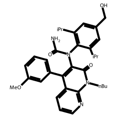 CCCCn1c(=O)c(N(C(N)=O)c2c(C(C)C)cc(CO)cc2C(C)C)c(-c2cccc(OC)c2)c2cccnc21